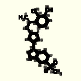 C[C@@H](Oc1csc(-n2cnc3cc(S(C)(=O)=O)ccc32)c1)c1cccc(O)c1Cl